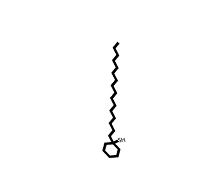 CCCCCCCCCCCCCCCCC1(S)CCCCC1